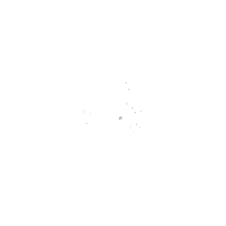 C[C@H](N)C(=O)N1C[C@H](CCCB(O)O)C[C@@](C)(N)C1